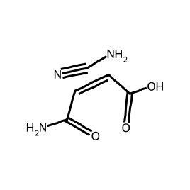 N#CN.NC(=O)/C=C\C(=O)O